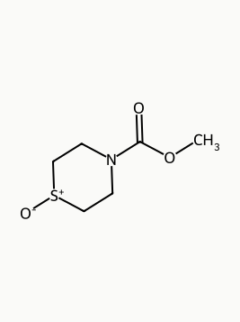 COC(=O)N1CC[S+]([O-])CC1